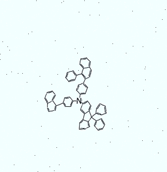 c1ccc(-c2c(-c3ccc(N(c4ccc(-c5cccc6ccccc56)cc4)c4ccc5c(c4)-c4ccccc4C5(c4ccccc4)c4ccccc4)cc3)ccc3ccccc23)cc1